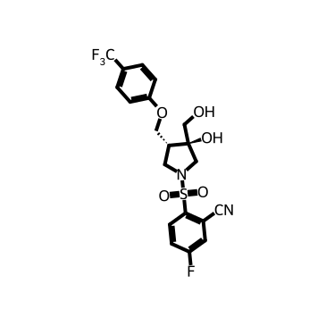 N#Cc1cc(F)ccc1S(=O)(=O)N1C[C@H](COc2ccc(C(F)(F)F)cc2)[C@](O)(CO)C1